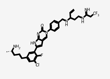 C=CC(CCNC(=N)CC(F)(F)F)NCc1ccc(-n2cc3cc(-c4cc(CCC[C@H](C)N)cc(Cl)c4F)[nH]c3nc2=O)cc1